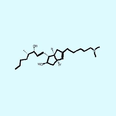 CCCC[C@H](C)[C@H](O)/C=C/[C@@H]1[C@H]2CC(CCCCCN(C)C)=C[C@H]2C[C@H]1O